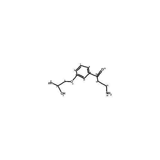 CCCC(O)COc1cccc(C(=O)CCN)c1